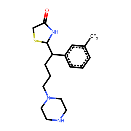 O=C1CSC(C(CCCN2CCNCC2)c2cccc(C(F)(F)F)c2)N1